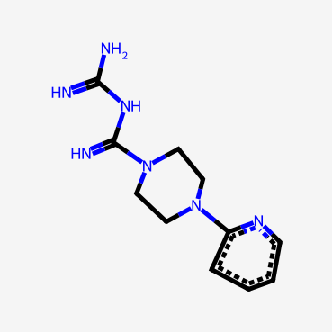 N=C(N)NC(=N)N1CCN(c2ccccn2)CC1